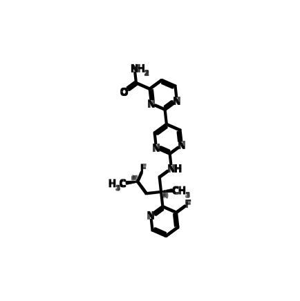 C[C@@H](F)C[C@](C)(CNc1ncc(-c2nccc(C(N)=O)n2)cn1)c1ncccc1F